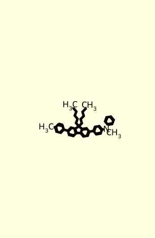 CCCCCCC1(CCCCCC)c2cc(-c3c#cc(C)cc3)ccc2-c2ccc(-c3ccc(N(C)c4ccccc4)cc3)cc21